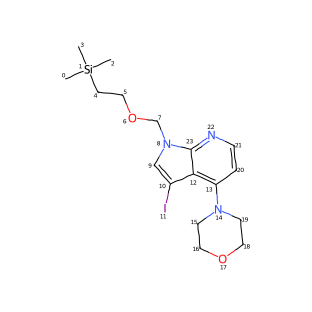 C[Si](C)(C)CCOCn1cc(I)c2c(N3CCOCC3)ccnc21